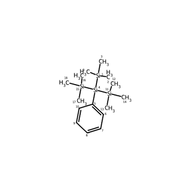 C[Si](C)(C)[Si](c1cc[c]cc1)([Si](C)(C)C)[Si](C)(C)C